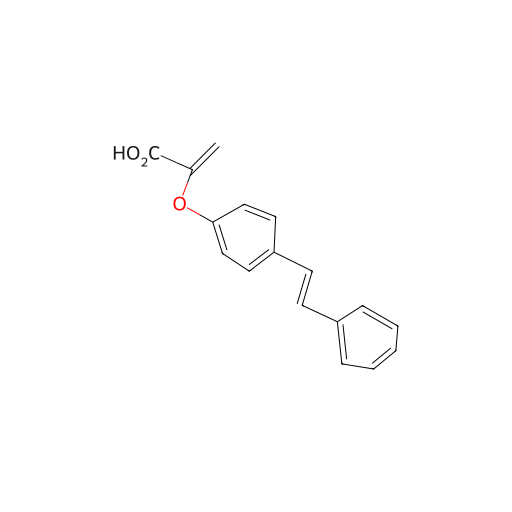 C=C(Oc1ccc(C=Cc2ccccc2)cc1)C(=O)O